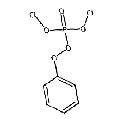 O=P(OCl)(OCl)OOc1ccccc1